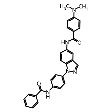 CN(C)c1ccc(C(=O)Nc2ccc3c(cnn3-c3ccc(NC(=O)c4ccccc4)cc3)c2)cc1